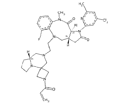 C=CC(=O)N1CC2(CN(CCN3C[C@H]4CC(=O)N(c5cc(C(F)(F)F)cc(C)n5)[C@@H]4C(=O)N(C)c4cccc(F)c43)C[C@H]3CCCN32)C1